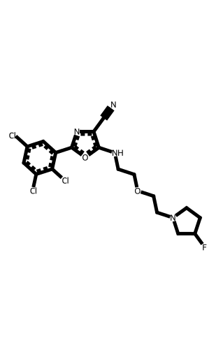 N#Cc1nc(-c2cc(Cl)cc(Cl)c2Cl)oc1NCCOCCN1CCC(F)C1